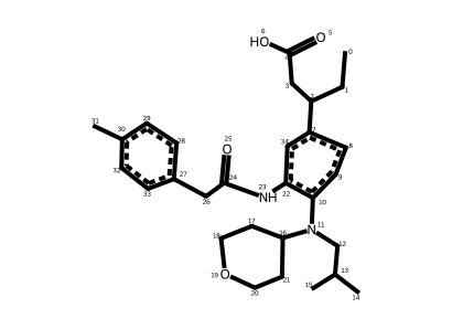 CCC(CC(=O)O)c1ccc(N(CC(C)C)C2CCOCC2)c(NC(=O)Cc2ccc(C)cc2)c1